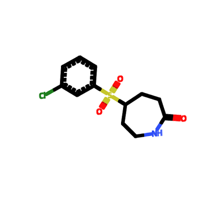 O=C1CCC(S(=O)(=O)c2cccc(Cl)c2)CCN1